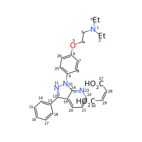 CCN(CC)CCOc1ccc(-n2nc(-c3ccccc3)c3cccnc32)cc1.O=C(O)/C=C\C(=O)O